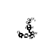 Cc1ccc(Cl)cc1N1CCN(c2ncnc3[nH]nc(C=C4C[C@@H]5CN(C(=O)OC(=O)C(F)(F)F)C[C@@H]5C4)c23)CC1